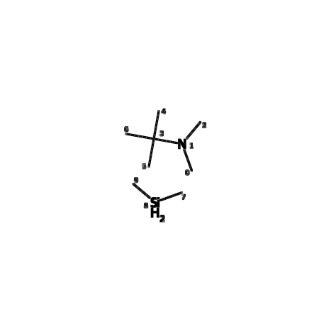 CN(C)C(C)(C)C.C[SiH2]C